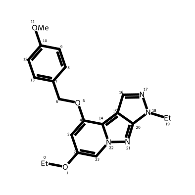 CCOc1cc(OCc2ccc(OC)cc2)c2c3cnn(CC)c3nn2c1